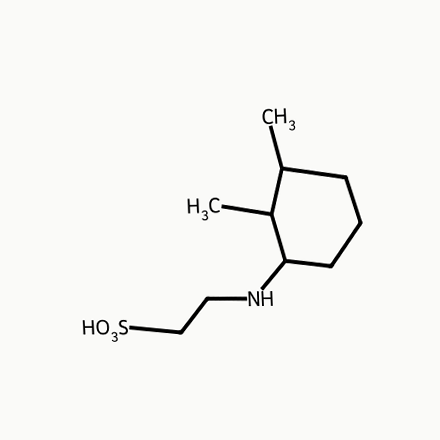 CC1CCCC(NCCS(=O)(=O)O)C1C